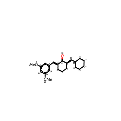 COc1cc(C=C2CCCC(=CC3CCCCC3)C2=O)cc(OC)c1